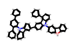 c1ccc(-c2ccc(-c3ccccc3)c(-n3c4ccccc4c4cc(-c5ccc6c(c5)c5c(-c7ccccc7)cccc5n6-c5ccc6oc7ccccc7c6c5)ccc43)c2)cc1